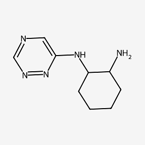 NC1CCCCC1Nc1cncnn1